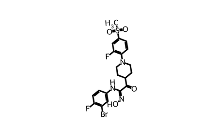 CS(=O)(=O)c1ccc(N2CCC(C(=O)/C(=N/O)Nc3ccc(F)c(Br)c3)CC2)c(F)c1